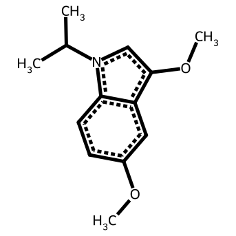 COc1ccc2c(c1)c(OC)cn2C(C)C